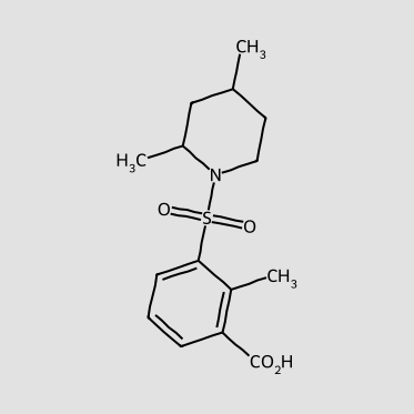 Cc1c(C(=O)O)cccc1S(=O)(=O)N1CCC(C)CC1C